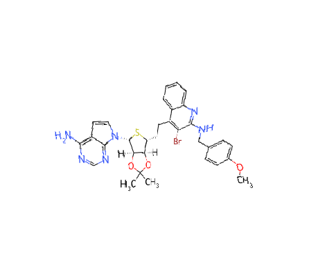 COc1ccc(CNc2nc3ccccc3c(CC[C@H]3S[C@@H](n4ccc5c(N)ncnc54)[C@@H]4OC(C)(C)O[C@@H]43)c2Br)cc1